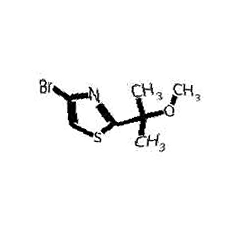 COC(C)(C)c1nc(Br)cs1